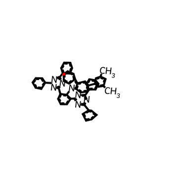 Cc1cc(C)cc(-c2ccc3c(c2)c2ccccc2n3-c2c(-c3nc(-c4ccccc4)nc(-c4ccccc4)n3)cccc2-c2nc(-c3ccccc3)nc(-c3ccccc3)n2)c1